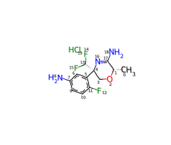 C[C@@H]1OC[C@](c2cc(N)ccc2F)(C(F)F)N=C1N.Cl